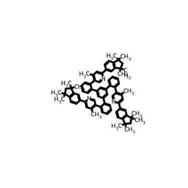 Cc1cc(-c2ccc3c(c2)C(C)(C)CC3(C)C)ncc1-c1ccccc1-c1cc(-c2ccccc2-c2cnc(-c3ccc4c(c3)C(C)(C)CC4(C)C)cc2C)cc(-c2ccccc2-c2cnc(-c3ccc4c(c3)C(C)(C)CC4(C)C)cc2C)c1